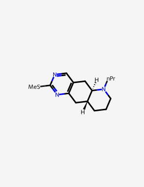 CCCN1CCC[C@@H]2Cc3nc(SC)ncc3C[C@H]21